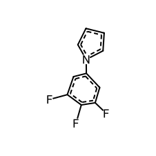 Fc1cc(-n2cccc2)cc(F)c1F